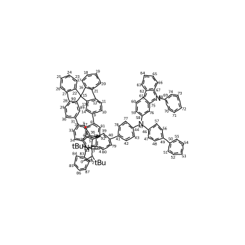 CC(C(C)(C)C)C(C)(c1ccc(-c2ccc3c(c2)C2(c4ccccc4-3)c3ccccc3-c3ccc(-c4ccc5c(c4)c4cc(-c6ccc(N(c7ccc(-c8ccccc8)cc7)c7ccc8c9ccccc9n(-c9ccccc9)c8c7)cc6)ccc4n5-c4ccccc4)cc32)cc1)C(C)(C)C